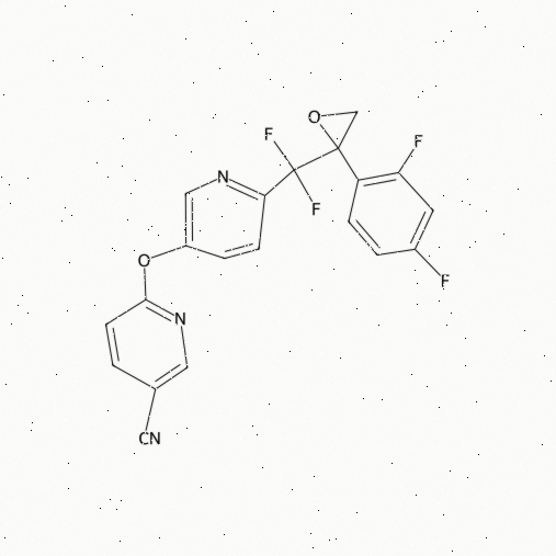 N#Cc1ccc(Oc2ccc(C(F)(F)C3(c4ccc(F)cc4F)CO3)nc2)nc1